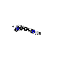 C=C(c1ccc(-c2ccc(CCC3CCN(CC(C)(C)C)CC3)cc2)cc1)N1CCCC1